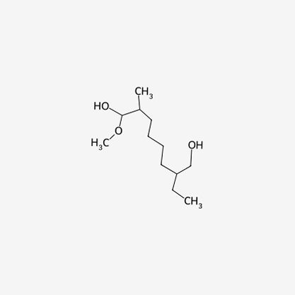 CCC(CO)CCCCC(C)C(O)OC